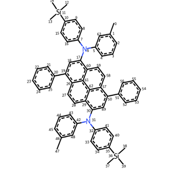 Cc1cccc(N(c2ccc([Si](C)(C)C)cc2)c2cc(-c3ccccc3)c3ccc4c(N(c5ccc([Si](C)(C)C)cc5)c5cccc(C)c5)cc(-c5ccccc5)c5ccc2c3c54)c1